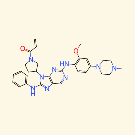 C=CC(=O)N1CCC(n2c(Nc3ccccc3)nc3cnc(Nc4ccc(N5CCN(C)CC5)cc4OC)nc32)C1